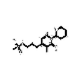 Cc1c(CCCOS(C)(=O)=O)cnn(C2CCCCO2)c1=O